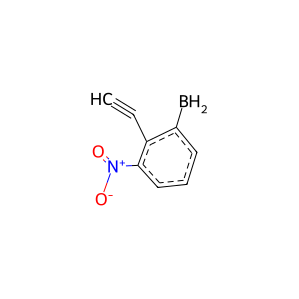 Bc1cccc([N+](=O)[O-])c1C#C